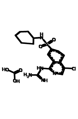 N=C(N)Nc1ncc(Cl)c2ccc(S(=O)(=O)NC3CCCCC3)cc12.O=C(O)O